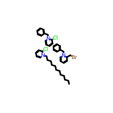 BrCC1C=CC=CN1Cc1ccccc1.CCCCCCCCCCCCN1C=CC=CC1Cl.ClC1C=CC=CN1Cc1ccccc1